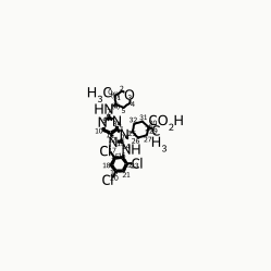 C[C@@H]1COCC[C@H]1Nc1ncc2nc(Nc3c(Cl)cc(Cl)cc3Cl)n([C@H]3CC[C@@](C)(C(=O)O)CC3)c2n1